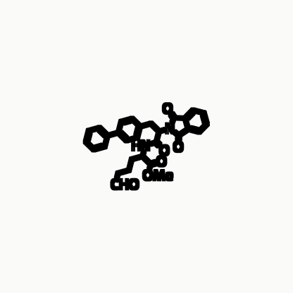 COC(=O)C(CCCC=O)NC(=O)C(Cc1ccc(-c2ccccc2)cc1)N1C(=O)c2ccccc2C1=O